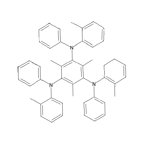 CC1=C(N(c2ccccc2)c2c(C)c(N(c3ccccc3)c3ccccc3C)c(C)c(N(c3ccccc3)c3ccccc3C)c2C)CCC=C1